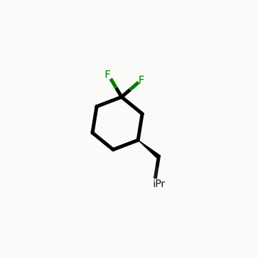 CC(C)C[C@H]1CCCC(F)(F)C1